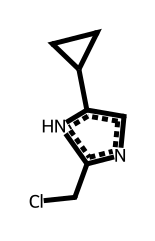 ClCc1ncc(C2CC2)[nH]1